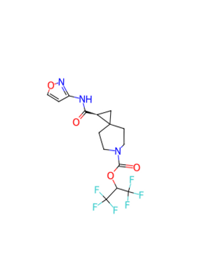 O=C(Nc1ccon1)[C@H]1CC12CCN(C(=O)OC(C(F)(F)F)C(F)(F)F)CC2